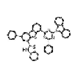 c1ccc(-c2cc(C3Nc4ccccc4S3)c3sc4c(-c5nc(-c6ccccc6)nc(-n6c7ccccc7c7ccccc76)n5)cccc4c3c2)cc1